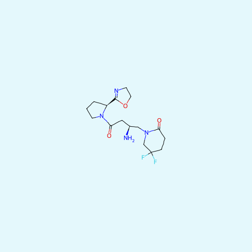 N[C@@H](CC(=O)N1CCC[C@H]1C1=NCCO1)CN1CC(F)(F)CCC1=O